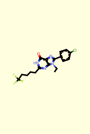 CCn1c(-c2ccc(Cl)cc2)nc2c(=O)[nH]c(CCCCC(F)(F)F)nc21